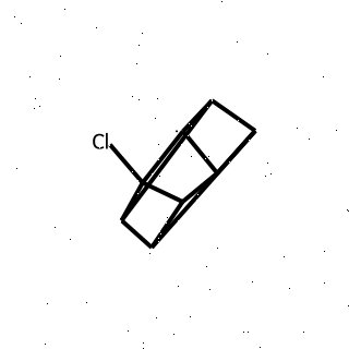 ClC12[C]3C4C5C3C1C5C42